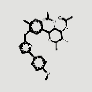 COc1ccc(-c2ccc(Cc3cc(C4O[C@H](C)[C@@H](C)[C@H](OC(C)=O)[C@H]4OC(C)=O)ccc3C)s2)cc1